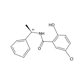 C[C@@H](NC(=O)c1cc(Cl)ccc1O)c1ccccc1